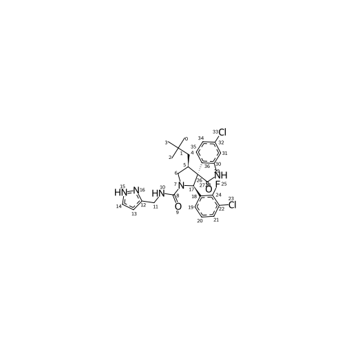 CC(C)(C)C[C@@H]1CN(C(=O)NCc2cc[nH]n2)[C@H](c2cccc(Cl)c2F)[C@]12C(=O)Nc1cc(Cl)ccc12